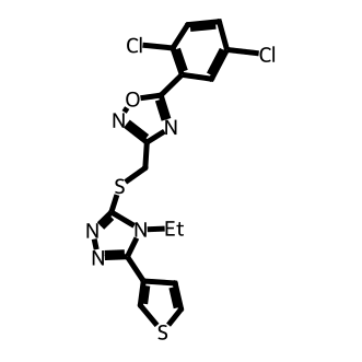 CCn1c(SCc2noc(-c3cc(Cl)ccc3Cl)n2)nnc1-c1ccsc1